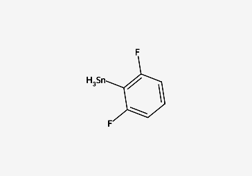 Fc1cccc(F)[c]1[SnH3]